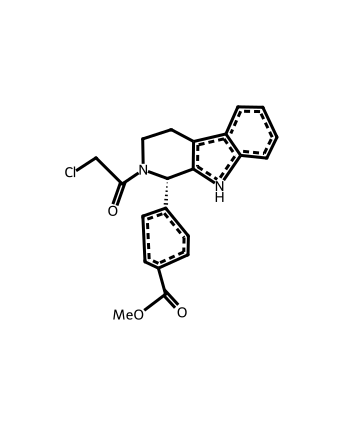 COC(=O)c1ccc([C@H]2c3[nH]c4ccccc4c3CCN2C(=O)CCl)cc1